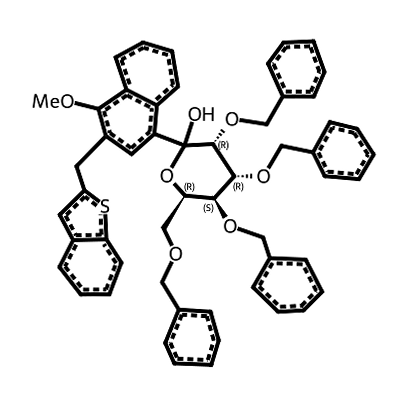 COc1c(Cc2cc3ccccc3s2)cc(C2(O)O[C@H](COCc3ccccc3)[C@H](OCc3ccccc3)[C@@H](OCc3ccccc3)[C@H]2OCc2ccccc2)c2ccccc12